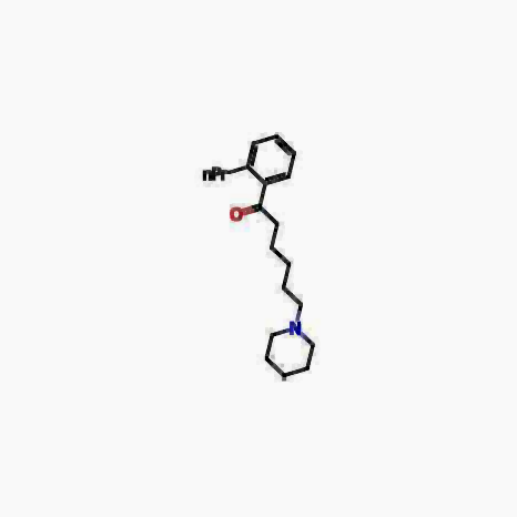 CCCc1ccccc1C(=O)CCCCCN1CC[CH]CC1